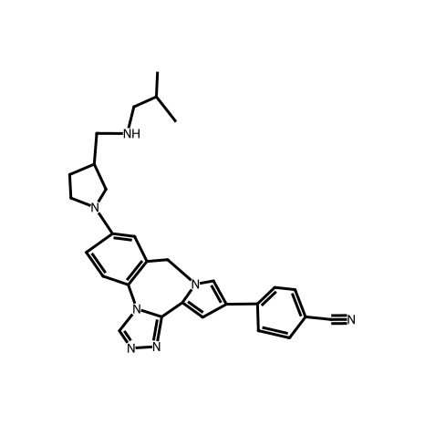 CC(C)CNCC1CCN(c2ccc3c(c2)Cn2cc(-c4ccc(C#N)cc4)cc2-c2nncn2-3)C1